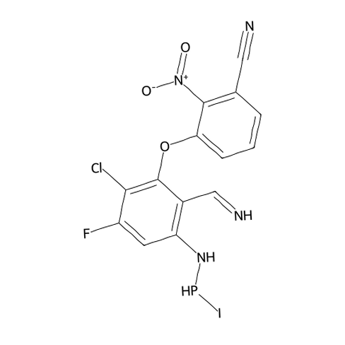 N#Cc1cccc(Oc2c(Cl)c(F)cc(NPI)c2C=N)c1[N+](=O)[O-]